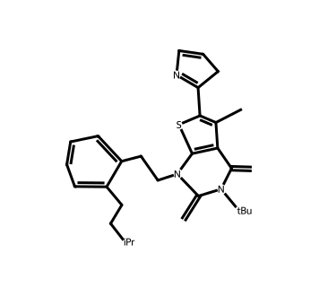 C=C1c2c(sc(C3=NC=CC3)c2C)N(CCc2ccccc2CCC(C)C)C(=C)N1C(C)(C)C